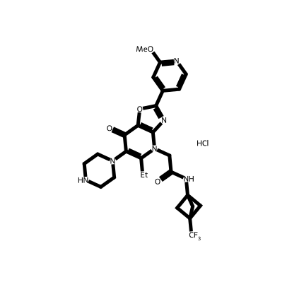 CCc1c(N2CCNCC2)c(=O)c2oc(-c3ccnc(OC)c3)nc2n1CC(=O)NC12CC(C(F)(F)F)(C1)C2.Cl